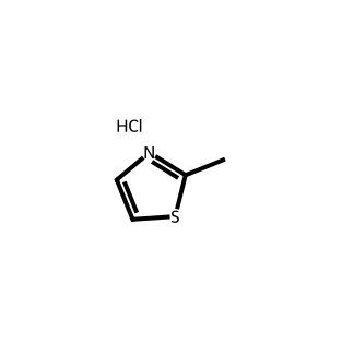 Cc1nccs1.Cl